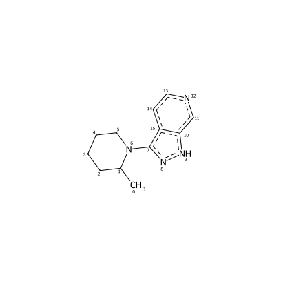 CC1CCCCN1c1n[nH]c2cnccc12